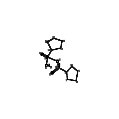 CP(=O)(O[PH](=O)C1CCCC1)C1CCCC1